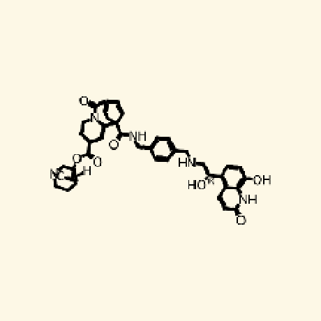 O=C(O[C@H]1CN2CCC1CC2)C1CCN2C(=O)C3=CCC(C(=O)NCc4ccc(CNC[C@H](O)c5ccc(O)c6[nH]c(=O)ccc56)cc4)(C=C3)C2C1